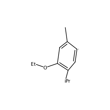 CCOc1cc(C)[c]cc1C(C)C